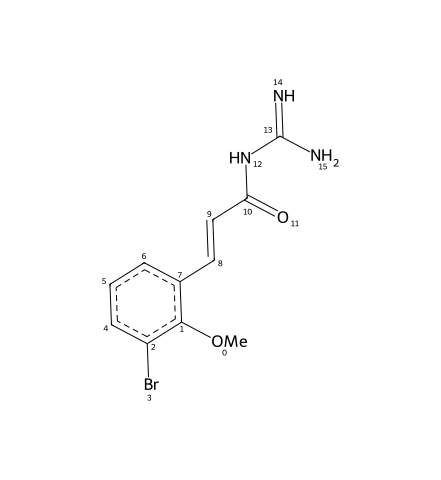 COc1c(Br)cccc1C=CC(=O)NC(=N)N